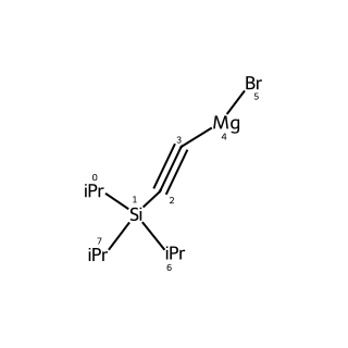 CC(C)[Si](C#[C][Mg][Br])(C(C)C)C(C)C